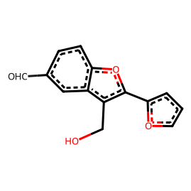 O=Cc1ccc2oc(-c3ccco3)c(CO)c2c1